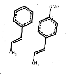 C/C=C/c1ccc(OC)cc1.C/C=C/c1ccccc1